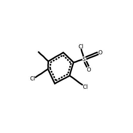 Cc1cc(S(=O)(=O)Cl)c(Cl)cc1Cl